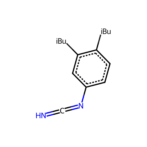 CCC(C)c1ccc(N=C=N)cc1C(C)CC